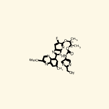 COc1cnc2c(-c3nc4cc(F)c(O[C@@H](C)[C@@H](C)OC(=O)Nc5cnc(CO)nc5)nc4s3)cc(C)cc2n1